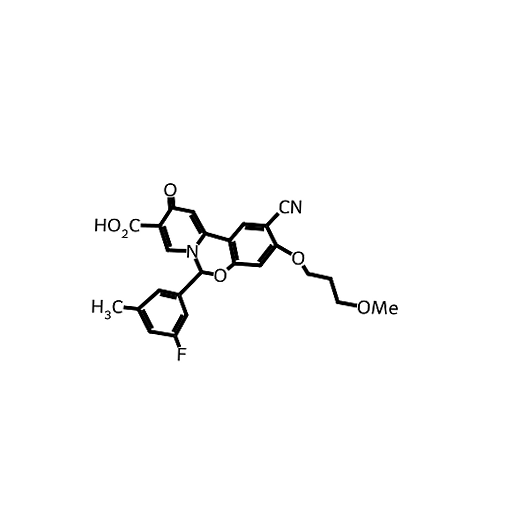 COCCCOc1cc2c(cc1C#N)-c1cc(=O)c(C(=O)O)cn1C(c1cc(C)cc(F)c1)O2